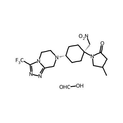 CC1CC(=O)N([C@]2(C[N+](=O)[O-])CC[C@@H](N3CCn4c(nnc4C(F)(F)F)C3)CC2)C1.O=CO